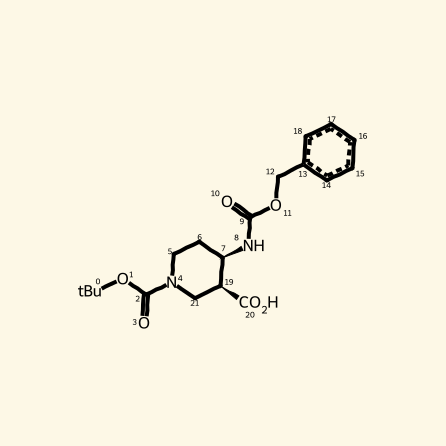 CC(C)(C)OC(=O)N1CC[C@@H](NC(=O)OCc2ccccc2)[C@@H](C(=O)O)C1